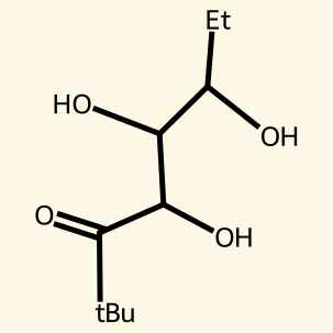 CCC(O)C(O)C(O)C(=O)C(C)(C)C